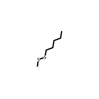 [C]SSCCCCC